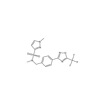 CN(Cc1ccc(-c2noc(C(F)(F)F)n2)cc1)S(=O)(=O)c1ccn(C)n1